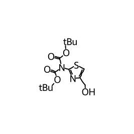 CC(C)(C)OC(=O)N(C(=O)OC(C)(C)C)c1nc(CO)cs1